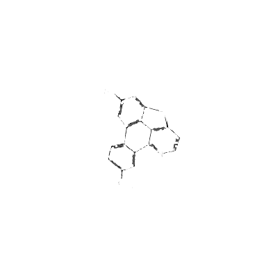 Cc1ccc2c(c1)c1nccc3sc4cc(C(C)(C)C)cc2c4c31